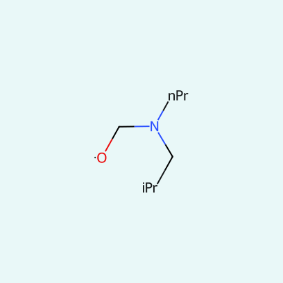 CCCN(C[O])CC(C)C